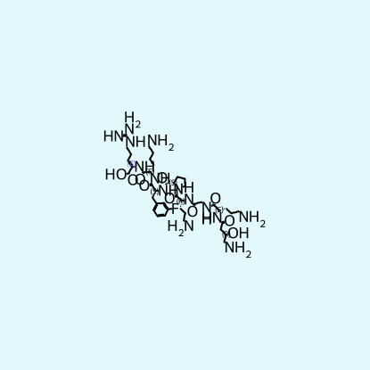 N=C(N)NCC/C=C(\NC(=O)[C@H](CCCCN)NC(=O)[C@H](Cc1cccc(F)c1)NC(=O)[C@@H]1CCCN1C(=O)[C@@H](CCCN)NC(=O)CNC(=O)[C@H](CCCN)NC(=O)C[C@@H](O)CN)C(=O)O